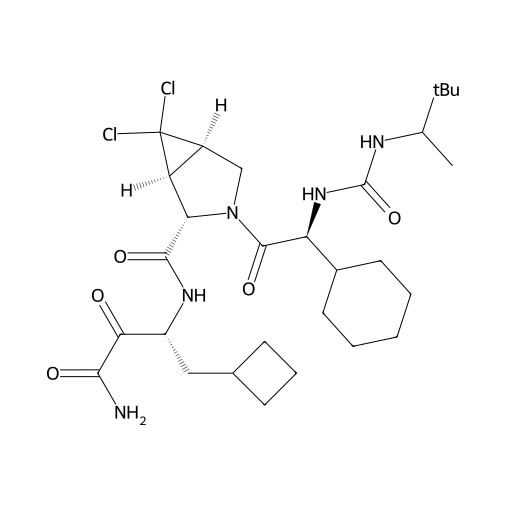 CC(NC(=O)N[C@H](C(=O)N1C[C@H]2[C@@H]([C@H]1C(=O)N[C@H](CC1CCC1)C(=O)C(N)=O)C2(Cl)Cl)C1CCCCC1)C(C)(C)C